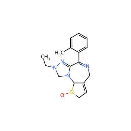 CCN1CN2C(=N1)C(c1ccccc1C)=NCC1=CC[S+]([O-])C12